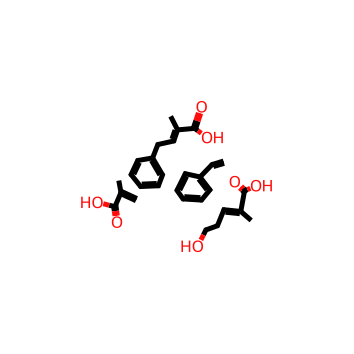 C/C(=C\CCO)C(=O)O.C/C(=C\Cc1ccccc1)C(=O)O.C=C(C)C(=O)O.C=Cc1ccccc1